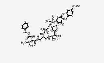 COc1ccc(Cn2c(=O)ccn([C@H]3O[C@@H](C(O)[C@H](NCCCNC(=O)[C@@H](NC(=O)OCc4ccccc4)[C@H](C)O)C(=O)O)[C@H](O[Si](C)(C)C(C)(C)C)[C@@H]3O[Si](C)(C)C(C)(C)C)c2=O)cc1